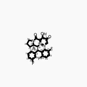 O=C1c2c(O)c(=O)cnn2[C@@H](C(c2cccc(F)c2)c2cc(F)ccc2F)[C@H]2CCCN12